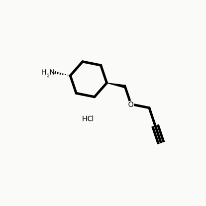 C#CCOC[C@H]1CC[C@H](N)CC1.Cl